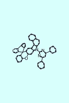 c1ccc(-c2cc(-c3ccccc3)nc(-n3c4cc5c(cc4c4c6ccccc6ccc43)C3(c4ccccc4O5)c4ccccc4-c4ccccc43)n2)cc1